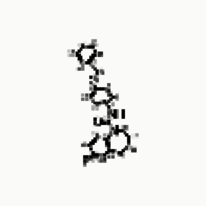 O=C(Nc1ccc(OCc2ccccc2)cc1)N1CCCCc2cc(F)ccc21